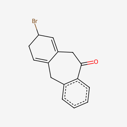 O=C1CC2=CC(Br)CC=C2Cc2ccccc21